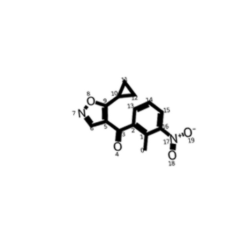 Cc1c(C(=O)c2cnoc2C2CC2)cccc1[N+](=O)[O-]